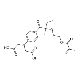 C=C(C)C(=O)OCCOC(C)(CC)C(=O)c1ccc(N(CC(=O)O)CC(=O)O)cc1